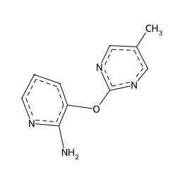 Cc1cnc(Oc2cccnc2N)nc1